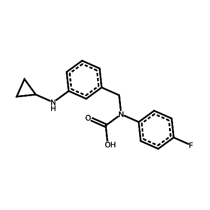 O=C(O)N(Cc1cccc(NC2CC2)c1)c1ccc(F)cc1